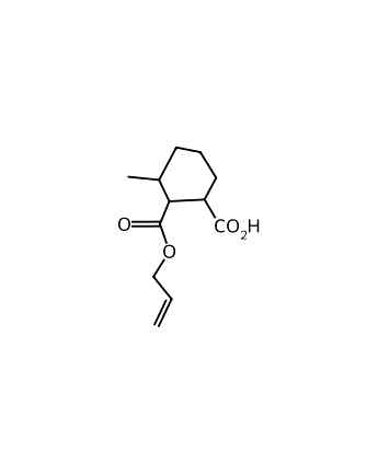 C=CCOC(=O)C1C(C)CCCC1C(=O)O